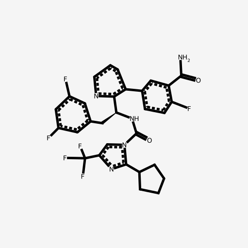 NC(=O)c1cc(-c2cccnc2[C@H](Cc2cc(F)cc(F)c2)NC(=O)n2cc(C(F)(F)F)nc2C2CCCC2)ccc1F